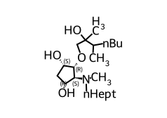 CCCCCCCN(C)[C@@H]1[C@@H](OCC(C)(O)C(C)CCCC)[C@@H](O)C[C@H]1O